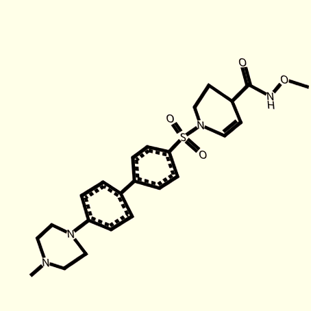 CONC(=O)C1C=CN(S(=O)(=O)c2ccc(-c3ccc(N4CCN(C)CC4)cc3)cc2)CC1